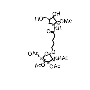 CO[C@@H]1[C@H](O)[C@@H](CO)C[C@H]1NC(=O)CCCCO[C@H]1O[C@@H](COC(C)=O)[C@@H](OC(C)=O)[C@@H](OC(C)=O)[C@@H]1NC(C)=O